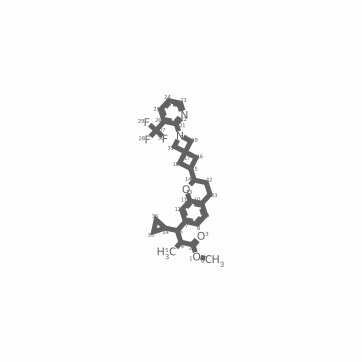 COC(=O)C(C)C(c1ccc2c(c1)OC(C1CC3(C1)CN(c1ncccc1C(F)(F)F)C3)CC2)C1CC1